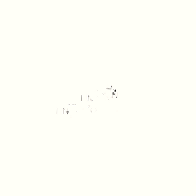 CC(C)(NC(=O)C1C2CNCC21)c1cnn2c1CCCC2